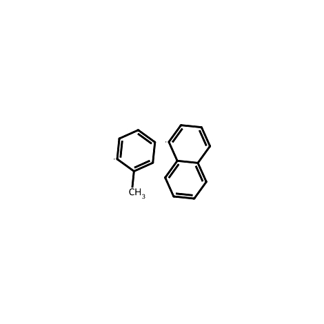 Cc1[c]cccc1.[c]1cccc2ccccc12